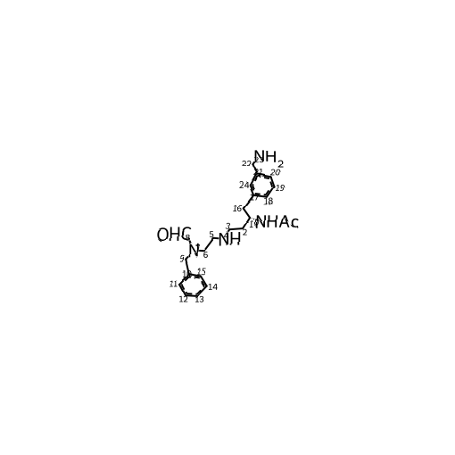 CC(=O)N[C@H](CCNCCN(C=O)Cc1ccccc1)Cc1cccc(CN)c1